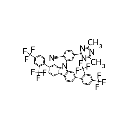 Cc1nc(C)nc(-c2ccc(C#N)c(-n3c4cc(-c5ccc(C(F)(F)F)cc5C(F)(F)F)ccc4c4ccc(-c5ccc(C(F)(F)F)cc5C(F)(F)F)cc43)c2)n1